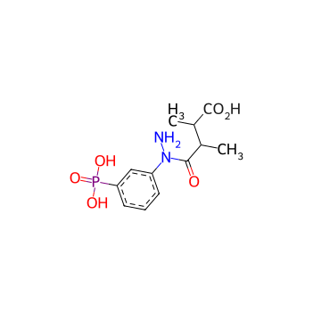 CC(C(=O)O)C(C)C(=O)N(N)c1cccc(P(=O)(O)O)c1